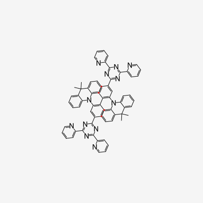 CC1(C)c2ccccc2N(c2cc(-c3nc(-c4ccccn4)nc(-c4ccccn4)n3)ccc2-c2ccc(-c3nc(-c4ccccn4)nc(-c4ccccn4)n3)cc2N2c3ccccc3C(C)(C)c3ccccc32)c2ccccc21